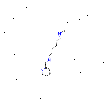 [CH][N]CCCCCC[N]Cc1ccc[c]n1